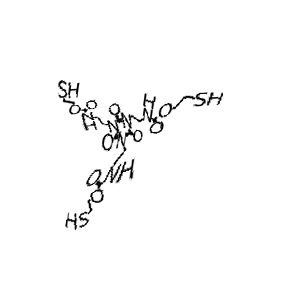 O=C(NCCn1c(=O)n(CCNC(=O)OCCS)c(=O)n(CCNC(=O)OCCS)c1=O)OCCS